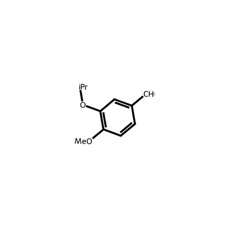 [CH]c1ccc(OC)c(OC(C)C)c1